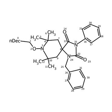 CCCCCCCCCCCON1C(C)(C)CC2(CC1(C)C)C(=O)N(c1ccccc1)C(=O)N2Cc1ccccc1